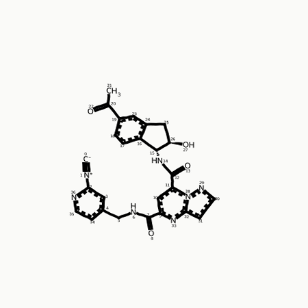 [C-]#[N+]c1cc(CNC(=O)c2cc(C(=O)N[C@@H]3c4ccc(C(C)=O)cc4C[C@H]3O)n3nccc3n2)ccn1